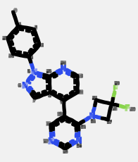 Cc1ccc(-n2ncc3c(-c4cncnc4N4CC(F)(F)C4)ccnc32)cc1